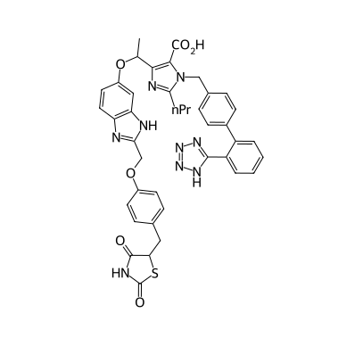 CCCc1nc(C(C)Oc2ccc3nc(COc4ccc(CC5SC(=O)NC5=O)cc4)[nH]c3c2)c(C(=O)O)n1Cc1ccc(-c2ccccc2-c2nnn[nH]2)cc1